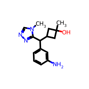 Cn1cnnc1C(c1cccc(N)c1)C1CC(C)(O)C1